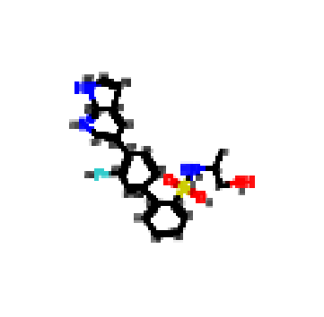 CC(CO)NS(=O)(=O)c1ccccc1-c1ccc(-c2cnc3[nH]ccc3c2)c(F)c1